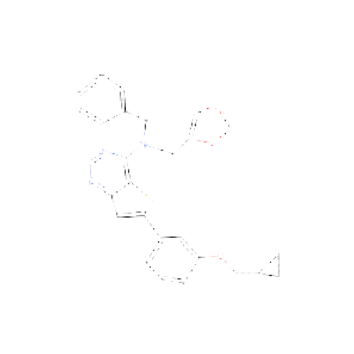 C1=C(CN(Cc2ccccc2)c2ncnc3cc(-c4cccc(OCC5CC5)c4)sc23)OCO1